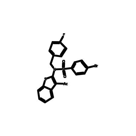 CC(=O)c1c(N(Cc2ccc(F)cc2)S(=O)(=O)c2ccc(Br)cc2)sc2ccccc12